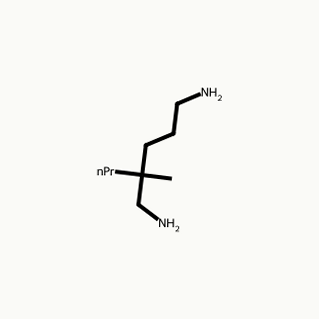 CCCC(C)(CN)CCCN